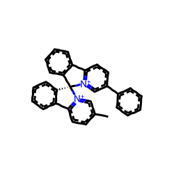 Cc1ccc2[n+](c1)[C@@]1(c3ccccc3-2)c2ccccc2-c2ccc(-c3ccccc3)c[n+]21